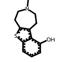 CN1CCc2sc3cccc(O)c3c2CC1